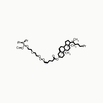 CC(C)CCC[C@H](C)C1CCC2C3CC=C4C[C@@H](OC(=O)CC/C=C\OOOCCOCCOP([O][Ce])N(C(C)C)C(C)C)CC[C@]4(C)C3CC[C@@]21C